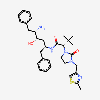 Cc1nc(CN2CCN([C@H](C(=O)N[C@@H](Cc3ccccc3)C[C@H](O)[C@@H](N)Cc3ccccc3)C(C)(C)C)C2=O)cs1